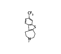 CN1CCc2sc3cc(C(F)(F)F)ccc3c2CC1